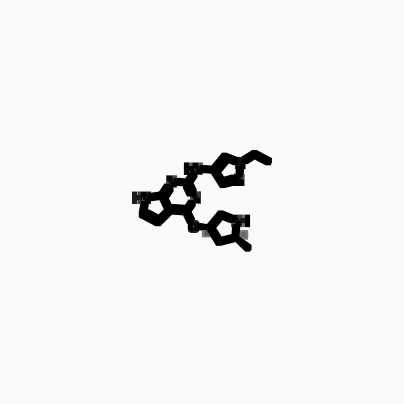 CCn1cc(Nc2nc(O[C@H]3CN[C@@H](C)C3)c3cc[nH]c3n2)cn1